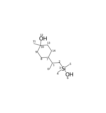 CC(C[Si](C)(C)O)C1CCC(C)(O)CC1